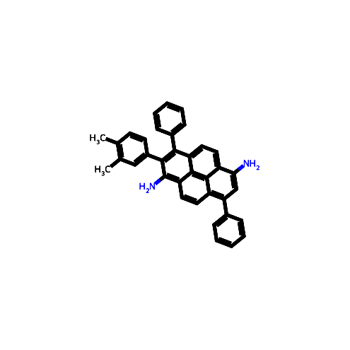 Cc1ccc(-c2c(N)c3ccc4c(-c5ccccc5)cc(N)c5ccc(c2-c2ccccc2)c3c54)cc1C